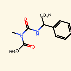 COC(=O)N(C)C(=O)NC(C(=O)O)c1ccccc1